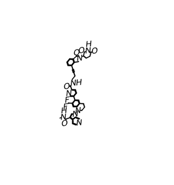 CNC(=O)c1cn(N2CCCc3cc(-c4ccc(C(=O)NCCC#Cc5cccc6c5CN(C5CCC(=O)NC5=O)C6=O)nc4)c(C(F)F)cc32)c2cnccc12